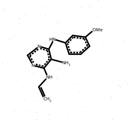 C=CNc1ncnc(Nc2cccc(OC)c2)c1N